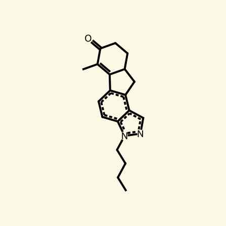 CCCCn1ncc2c3c(ccc21)C1=C(C)C(=O)CCC1C3